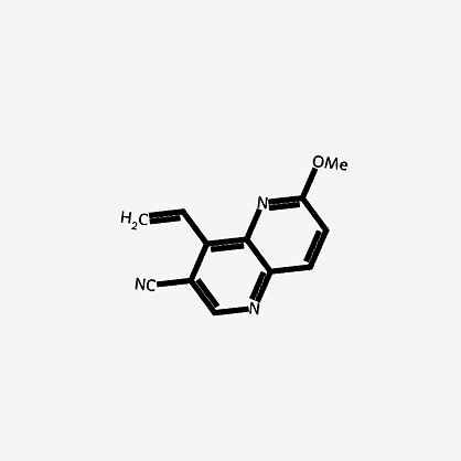 C=Cc1c(C#N)cnc2ccc(OC)nc12